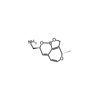 C[C@@H]1OC=CC2=C[C@@H](CN)OB3OCC1=C32